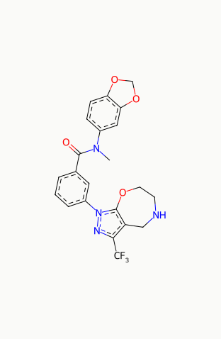 CN(C(=O)c1cccc(-n2nc(C(F)(F)F)c3c2OCCNC3)c1)c1ccc2c(c1)OCO2